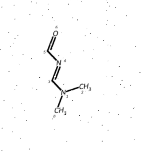 CN(C)C=NC=O